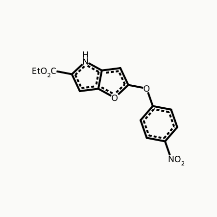 CCOC(=O)c1cc2oc(Oc3ccc([N+](=O)[O-])cc3)cc2[nH]1